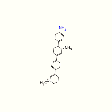 CC1C=C(C2=CC=C(C3=C[C@H](C)CCC3)CC2)CCC1C1=CC=C(N)CC1